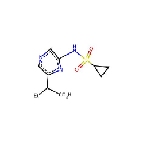 CCC(C(=O)O)c1cncc(NS(=O)(=O)C2CC2)n1